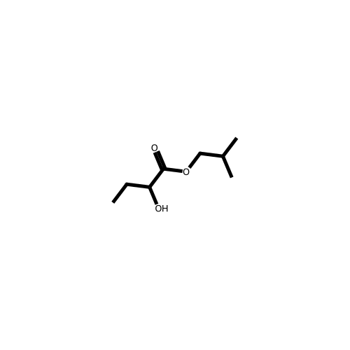 CCC(O)C(=O)OCC(C)C